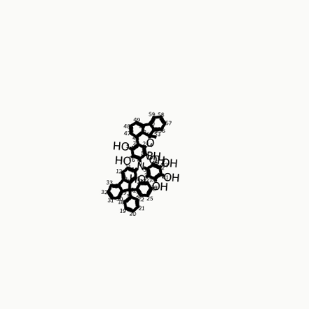 Bc1c2c(c(O)c(O)c1N(c1ccc3c(c1)C(c1ccccc1)(c1ccccc1)c1ccccc1-3)c1c(O)c(O)c(O)c(O)c1O)-c1cccc3c1C(C)(O2)c1ccccc1-3